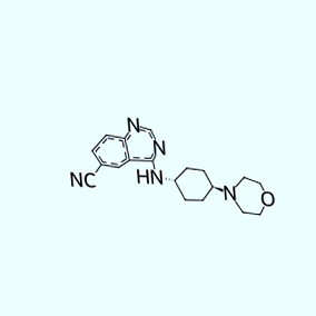 N#Cc1ccc2ncnc(N[C@H]3CC[C@H](N4CCOCC4)CC3)c2c1